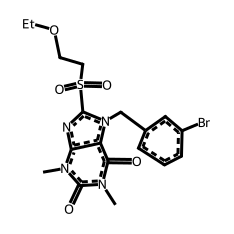 CCOCCS(=O)(=O)c1nc2c(c(=O)n(C)c(=O)n2C)n1Cc1cccc(Br)c1